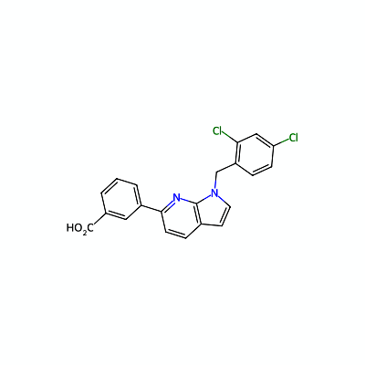 O=C(O)c1cccc(-c2ccc3ccn(Cc4ccc(Cl)cc4Cl)c3n2)c1